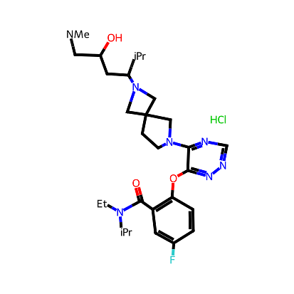 CCN(C(=O)c1cc(F)ccc1Oc1nncnc1N1CCC2(C1)CN(C(CC(O)CNC)C(C)C)C2)C(C)C.Cl